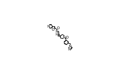 O=C(NCC1CC12CCN(C(=O)c1cccc(Cn3ccnc3)c1)CC2)c1cc2ccncc2o1